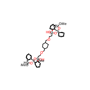 CO[SiH](C)O[Si](O[Si](C)(O)CCOCC1CCC(COCC[Si](O)(OC)O[Si](O[SiH](C)OC)(c2ccccc2)c2ccccc2)CC1)(c1ccccc1)c1ccccc1